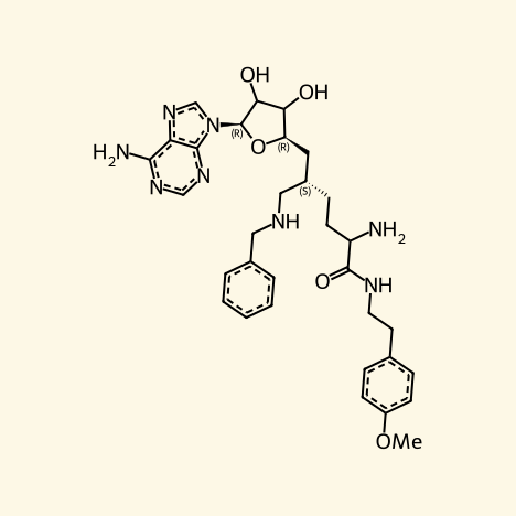 COc1ccc(CCNC(=O)C(N)CC[C@H](CNCc2ccccc2)C[C@H]2O[C@@H](n3cnc4c(N)ncnc43)C(O)C2O)cc1